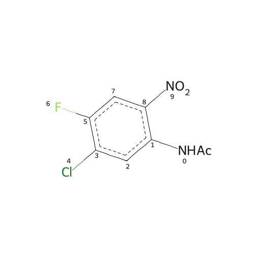 CC(=O)Nc1cc(Cl)c(F)cc1[N+](=O)[O-]